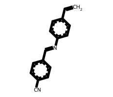 C=Cc1ccc(N=Cc2ccc(C#N)cc2)cc1